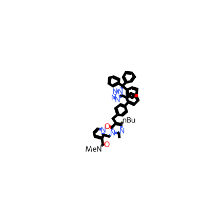 CCCCc1nc(C)n(Cc2ncccc2C(=O)NC)c(=O)c1Cc1ccc(-c2ccccc2-c2nnnn2C(c2ccccc2)(c2ccccc2)c2ccccc2)cc1